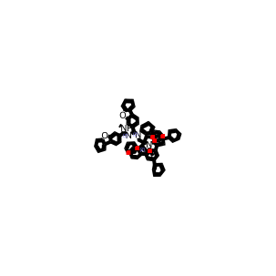 CC/C=C(/c1ccccc1)C(C/N=C(\N=C(/NC)c1ccc2c(c1)oc1ccccc12)c1ccc2c(c1)oc1ccccc12)(Cc1ccccc1)n1c2c(-c3ccccc3)cc(-c3ccccc3)cc2c2cc(-c3ccccc3)cc(-c3ccccc3)c21